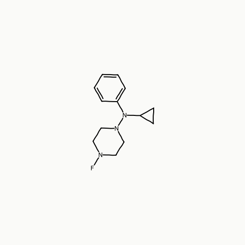 FN1CCN(N(c2ccccc2)C2CC2)CC1